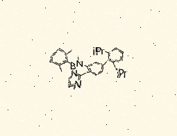 Cc1cccc(C)c1B1N(C)c2cc(-c3c(C(C)C)cccc3C(C)C)ccc2-c2nccn21